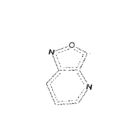 [c]1onc2cccnc12